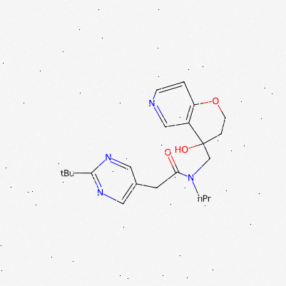 CCCN(CC1(O)CCOc2ccncc21)C(=O)Cc1cnc(C(C)(C)C)nc1